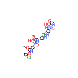 CCCOc1cc(Oc2ccccc2Cl)nc2ccc(NC(=O)c3nc(-c4ccc(N(C)c5ccc6cc(NC(=O)c7nccc(OC)c7O)ccc6n5)c(Cl)c4)cc(OC)c3O)cc12